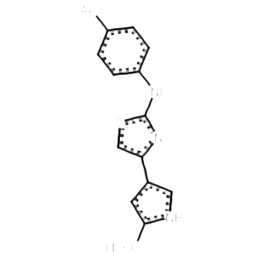 CC(=O)c1ccc(Nc2nc(-c3c[nH]c(C(=O)O)c3)cs2)cc1